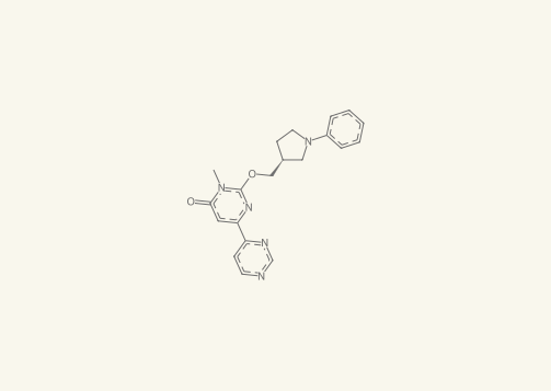 Cn1c(OC[C@H]2CCN(c3ccccc3)C2)nc(-c2ccncn2)cc1=O